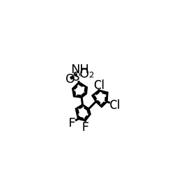 NS(=O)(=O)c1ccc(-c2cc(F)c(F)cc2-c2cc(Cl)cc(Cl)c2)cc1